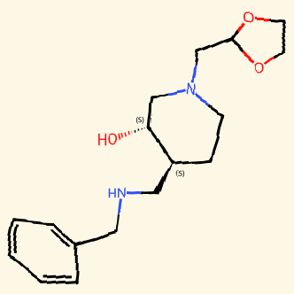 O[C@@H]1CN(CC2OCCO2)CC[C@H]1CNCc1ccccc1